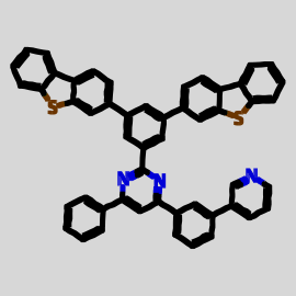 c1ccc(-c2cc(-c3cccc(-c4cccnc4)c3)nc(-c3cc(-c4ccc5c(c4)sc4ccccc45)cc(-c4ccc5c(c4)sc4ccccc45)c3)n2)cc1